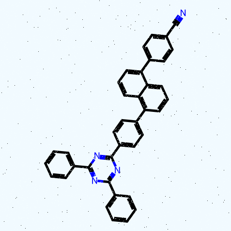 N#Cc1ccc(-c2cccc3c(-c4ccc(-c5nc(-c6ccccc6)nc(-c6ccccc6)n5)cc4)cccc23)cc1